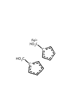 O=C(O)[c-]1cccc1.O=C(O)[c-]1cccc1.[Fe+2]